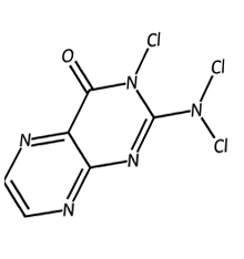 O=c1c2nccnc2nc(N(Cl)Cl)n1Cl